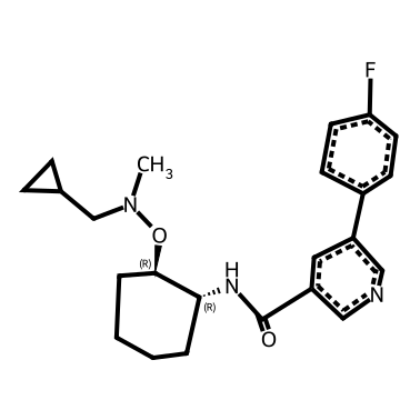 CN(CC1CC1)O[C@@H]1CCCC[C@H]1NC(=O)c1cncc(-c2ccc(F)cc2)c1